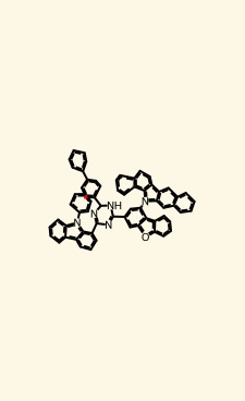 c1ccc(-c2ccc(C3N=C(c4cccc5c6ccccc6n(-c6ccccc6)c45)N=C(c4cc(-n5c6cc7ccccc7cc6c6ccc7ccccc7c65)c5c(c4)oc4ccccc45)N3)cc2)cc1